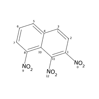 O=[N+]([O-])c1c[c]c2cccc([N+](=O)[O-])c2c1[N+](=O)[O-]